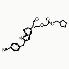 Cn1c(Cc2ccc(C#N)cc2)cc2cc(N(C=O)COCC(=O)OCC3CCCC3)ccc21